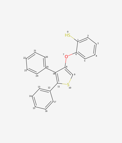 Sc1ccccc1Oc1csc(-c2ccccc2)c1-c1ccccc1